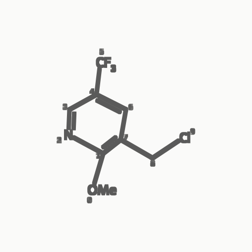 COc1ncc(C(F)(F)F)cc1CCl